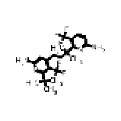 CC(C)(C)c1nc(N)cc(CCC(C)(C)c2nc(N)ccc2C(F)(F)F)c1C(F)(F)F